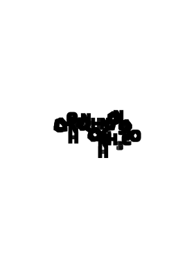 CC(=O)c1ccc(-c2nccc3[nH]c(-c4n[nH]c5ccc(-c6cncc(NC(=O)c7ccccc7)c6)cc45)cc23)s1